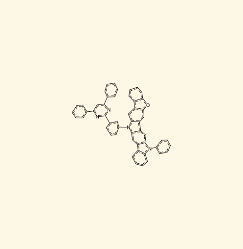 c1ccc(-c2cc(-c3ccccc3)nc(-c3cccc(-n4c5cc6c(cc5c5cc7c(cc54)c4ccccc4n7-c4ccccc4)oc4ccccc46)c3)n2)cc1